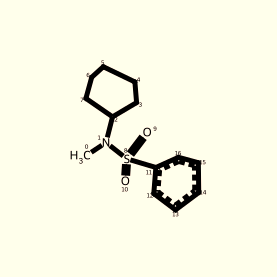 CN(C1CCCCC1)S(=O)(=O)c1[c]cccc1